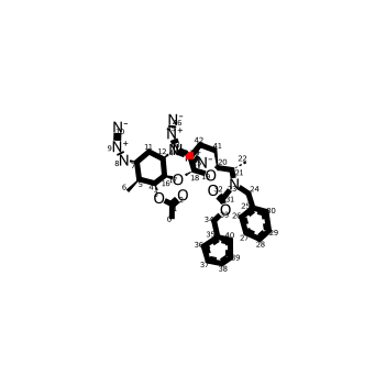 CC(=O)O[C@@H]1[C@@H](C)[C@H](N=[N+]=[N-])C[C@H](N=[N+]=[N-])[C@H]1O[C@H]1O[C@H]([C@H](C)N(Cc2ccccc2)C(=O)OCc2ccccc2)CC[C@@H]1N=[N+]=[N-]